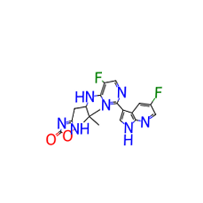 CC(C)(C)C(Cc1nc(=O)o[nH]1)Nc1nc(-c2c[nH]c3ncc(F)cc23)ncc1F